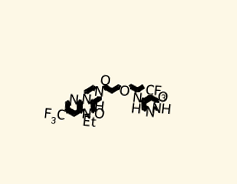 CCN1C(=O)[C@@H]2CN(C(=O)CCOCC(C)Nc3cn[nH]c(=O)c3C(F)(F)F)CCN2c2ncc(C(F)(F)F)cc21